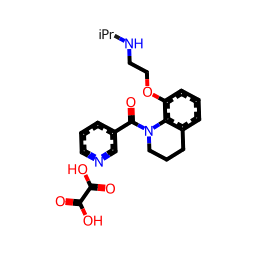 CC(C)NCCOc1cccc2c1N(C(=O)c1cccnc1)CCC2.O=C(O)C(=O)O